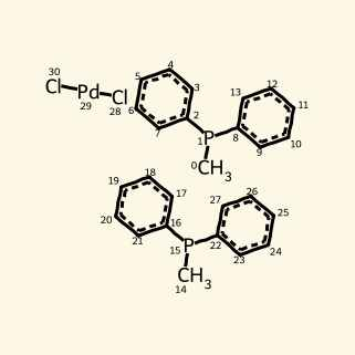 CP(c1ccccc1)c1ccccc1.CP(c1ccccc1)c1ccccc1.[Cl][Pd][Cl]